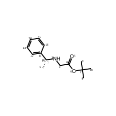 C[C@@H](NCC(=O)OC(C)(C)C)c1ccccc1